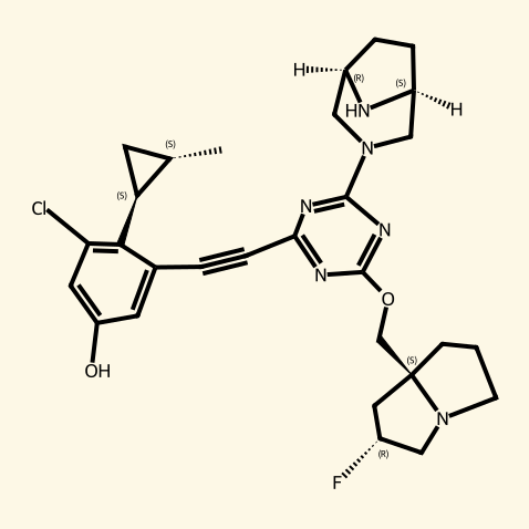 C[C@H]1C[C@@H]1c1c(Cl)cc(O)cc1C#Cc1nc(OC[C@@]23CCCN2C[C@H](F)C3)nc(N2C[C@H]3CC[C@@H](C2)N3)n1